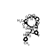 Cc1ccc(NC(=O)N[C@@H](Cc2cc(F)cc(F)c2)C(=O)N[C@@H]2C(=O)N3CCC[C@H]3C(=O)N3CCCC[C@H]3C(=O)N[C@@H](C)C(=O)N3C[C@H](C)CC34C(=O)C4[C@@H]2C)cc1